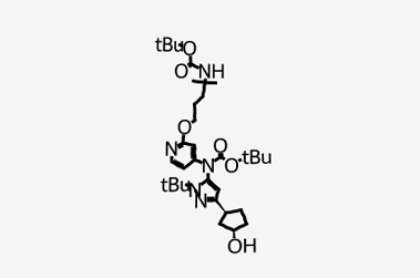 CC(C)(CCCOc1cc(N(C(=O)OC(C)(C)C)c2cc([C@H]3CC[C@@H](O)C3)nn2C(C)(C)C)ccn1)NC(=O)OC(C)(C)C